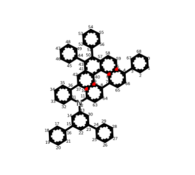 c1ccc(-c2ccc(-c3ccc(N(c4cc(-c5ccccc5)cc(-c5ccccc5)c4)c4ccccc4-c4ccc5c(c4)c(-c4ccccc4)c(-c4ccccc4)c4ccccc45)cc3)cc2)cc1